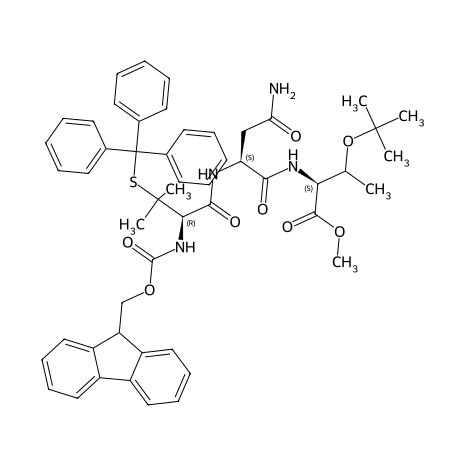 COC(=O)[C@@H](NC(=O)[C@H](CC(N)=O)NC(=O)[C@@H](NC(=O)OCC1c2ccccc2-c2ccccc21)C(C)(C)SC(c1ccccc1)(c1ccccc1)c1ccccc1)C(C)OC(C)(C)C